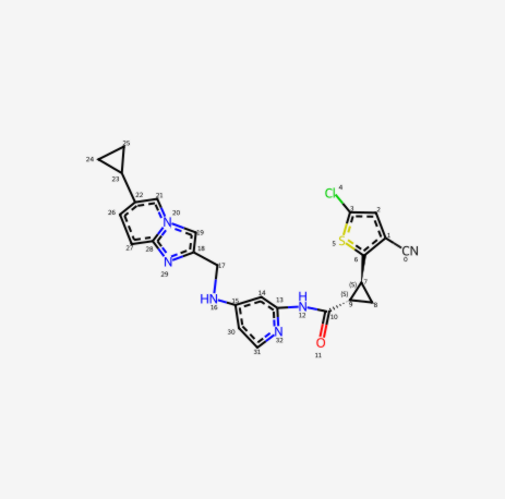 N#Cc1cc(Cl)sc1[C@H]1C[C@@H]1C(=O)Nc1cc(NCc2cn3cc(C4CC4)ccc3n2)ccn1